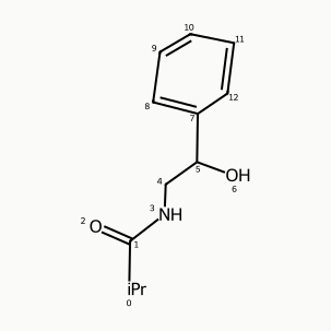 CC(C)C(=O)NCC(O)c1ccccc1